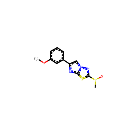 C[S+]([O-])c1nn2cc(-c3cccc(OC(F)(F)F)c3)nc2s1